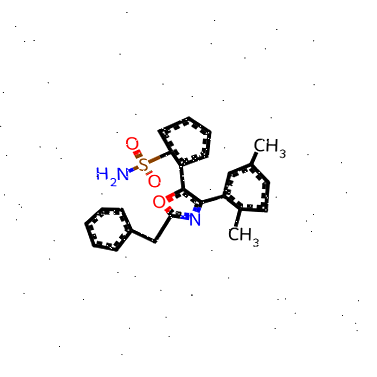 Cc1ccc(C)c(-c2nc(Cc3ccccc3)oc2-c2ccccc2S(N)(=O)=O)c1